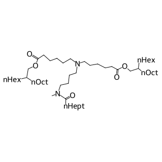 CCCCCCCCC(CCCCCC)COC(=O)CCCCCN(CCCCCC(=O)OCC(CCCCCC)CCCCCCCC)CCCCN(C)C(=O)CCCCCCC